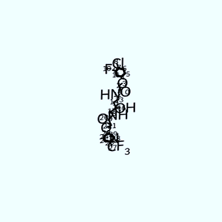 O=C(COc1ccc(Cl)c(F)c1)NCCC(O)CNC(=O)COc1ccc(C(F)(F)F)nc1